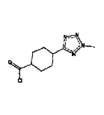 Cn1nnc(C2CCC(C(=O)Cl)CC2)n1